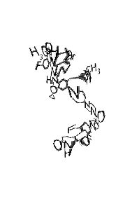 Cn1cc(-c2cc(Nc3ncc(Br)c(Nc4ccc(F)cc4P(C)(C)=O)n3)c(OC3CC3)cc2N2CCC(N3CCN(C(=O)[C@H]4CCN(c5cc(F)c(C6CCC(=O)NC6=O)c(F)c5)C4)CC3)CC2)cn1